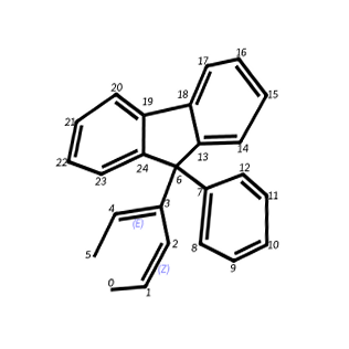 C/C=C\C(=C/C)C1(c2ccccc2)c2ccccc2-c2ccccc21